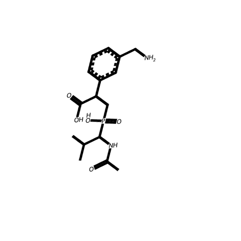 CC(=O)NC(C(C)C)P(=O)(O)CC(C(=O)O)c1cccc(CN)c1